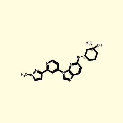 Cn1ccc(-c2cc(-n3cnc4ccc(N[C@H]5CCC[C@](C)(O)C5)nc43)ccn2)n1